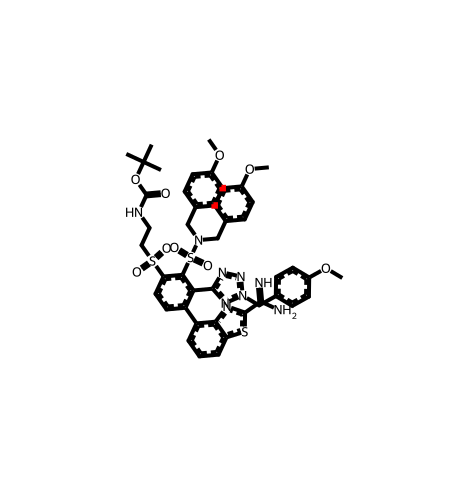 COc1ccc(CN(Cc2ccc(OC)cc2)S(=O)(=O)c2c(S(=O)(=O)CCNC(=O)OC(C)(C)C)ccc(-c3cccc4sc(C(=N)N)nc34)c2-c2nnn(Cc3ccc(OC)cc3)n2)cc1